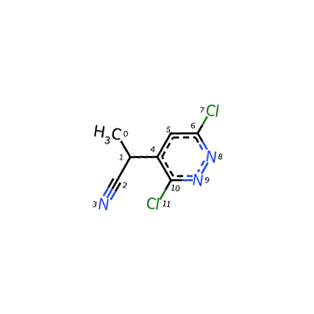 CC(C#N)c1cc(Cl)nnc1Cl